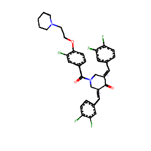 O=C1/C(=C/c2ccc(F)c(F)c2)CN(C(=O)c2ccc(OCCN3CCCCC3)c(Cl)c2)C/C1=C\c1ccc(F)c(F)c1